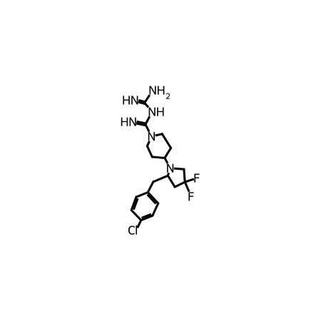 N=C(N)NC(=N)N1CCC(N2CC(F)(F)CC2Cc2ccc(Cl)cc2)CC1